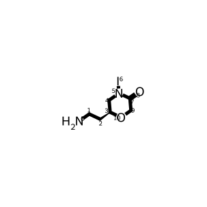 NCC[C@H]1CN(I)C(=O)CO1